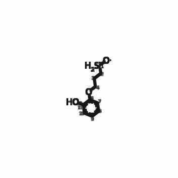 [O][SiH2]CCCOc1ccccc1O